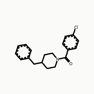 O=C(c1ccc(Cl)cc1)N1CCC(Cc2ccccc2)CC1